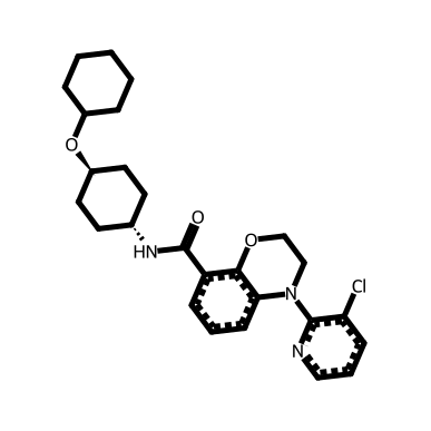 O=C(N[C@H]1CC[C@H](OC2CCCCC2)CC1)c1cccc2c1OCCN2c1ncccc1Cl